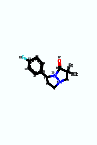 CCC1(CC)CN2CCC(c3ccc(F)cc3)N2C1=O